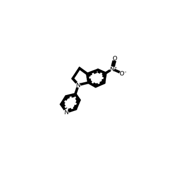 O=[N+]([O-])c1ccc2c(c1)CCN2c1ccncc1